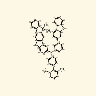 Cc1cccc(C)c1-c1ccc(N(c2cccc(-c3ccc4c(c3)oc3ccccc34)c2)c2ccc3sc4cc5c(cc4c3c2)C(C)(C)c2ccccc2-5)cc1